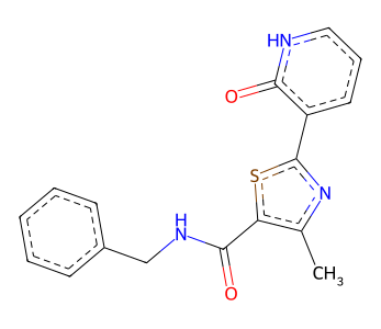 Cc1nc(-c2ccc[nH]c2=O)sc1C(=O)NCc1ccccc1